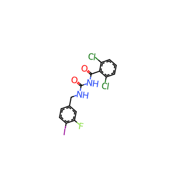 O=C(NCc1ccc(I)c(F)c1)NC(=O)c1c(Cl)cccc1Cl